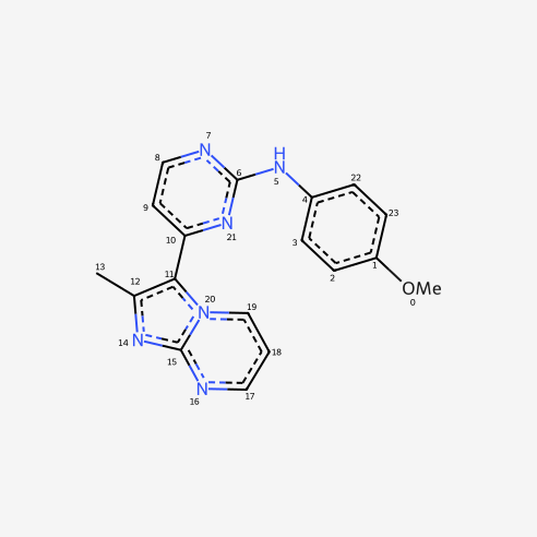 COc1ccc(Nc2nccc(-c3c(C)nc4ncccn34)n2)cc1